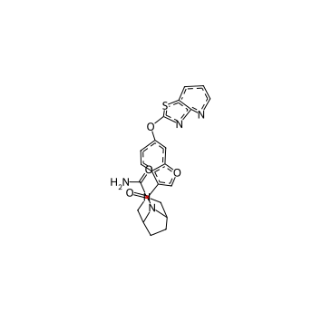 NC(=O)N1CC2CCC(C1)N2C(=O)c1coc2cc(Oc3nc4ncccc4s3)ccc12